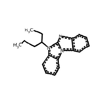 CCCC(CC)n1c2ccccc2n2c3ccccc3nc12